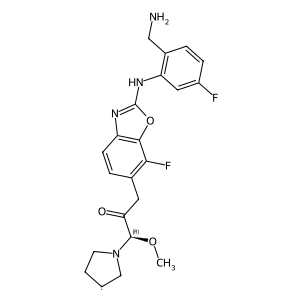 CO[C@H](C(=O)Cc1ccc2nc(Nc3cc(F)ccc3CN)oc2c1F)N1C[CH]CC1